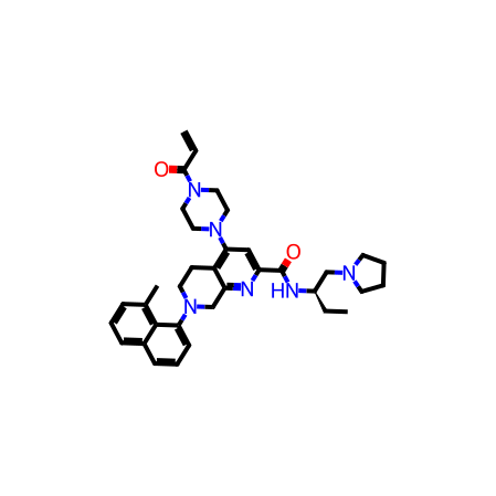 C=CC(=O)N1CCN(c2cc(C(=O)N[C@H](CC)CN3CCCC3)nc3c2CCN(c2cccc4cccc(C)c24)C3)CC1